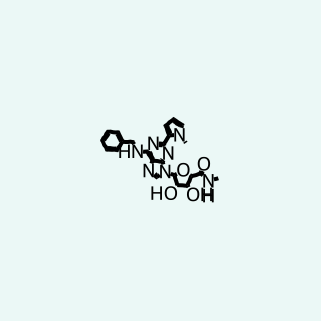 CNC(=O)C1OC(n2cnc3c(NCc4ccccc4)nc(-c4cccn4C)nc32)C(O)C1O